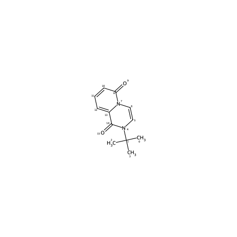 CC(C)(C)n1ccn2c(=O)cccc2c1=O